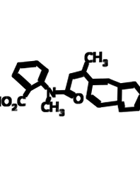 C/C(=C/C(=O)N(C)c1ccccc1C(=O)O)c1ccc2ccccc2c1